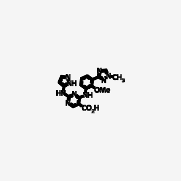 COc1c(Nc2nc(Nc3ccn[nH]3)ncc2C(=O)O)cccc1-c1ncn(C)n1